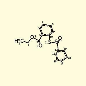 CCOC(=O)c1ccccc1SC(=O)c1ccccc1